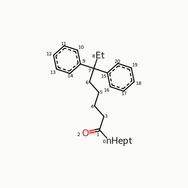 CCCCCCCC(=O)CCCCC(CC)(c1ccccc1)c1ccccc1